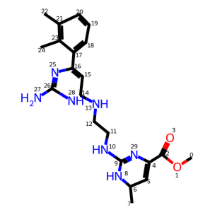 COC(=O)C1=CC(C)NC(NCCNC2C=C(c3cccc(C)c3C)N=C(N)N2)=N1